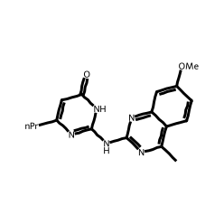 CCCc1cc(=O)[nH]c(Nc2nc(C)c3ccc(OC)cc3n2)n1